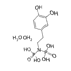 O.O.O=P(O)(O)N(CCc1ccc(O)c(O)c1)P(=O)(O)O